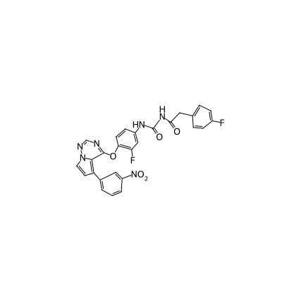 O=C(Cc1ccc(F)cc1)NC(=O)Nc1ccc(Oc2ncnn3ccc(-c4cccc([N+](=O)[O-])c4)c23)c(F)c1